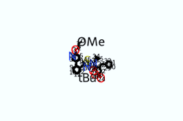 COCCOc1ccc(-c2ccccc2-c2csc(N(C(=O)C(CC(=O)OC(C)(C)C)CC3CCCC3)C3CC3)n2)cn1